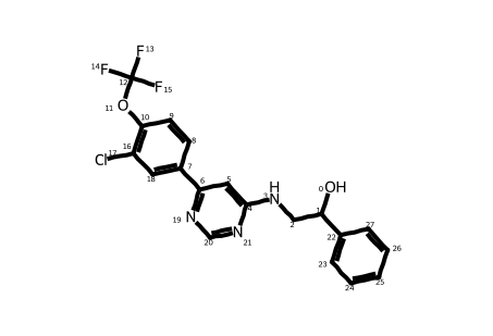 OC(CNc1cc(-c2ccc(OC(F)(F)F)c(Cl)c2)ncn1)c1ccccc1